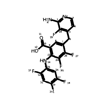 Nc1nccc(Cc2cc(C(=O)O)c(Nc3cc(F)c(I)cc3F)c(F)c2F)c1F